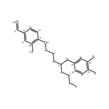 CCCCC(CCCOc1ccc(C=O)cc1F)Cc1ccc(C)c(C)c1